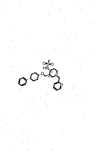 CS(=O)(=O)N[C@H]1CCN(Cc2ccccn2)C[C@H]1CO[C@H]1CC[C@@H](c2ccccc2)CC1